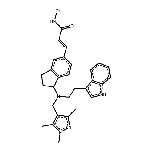 Cc1nn(C)c(C)c1CN(CCc1c[nH]c2ccccc12)C1CCc2cc(C=CC(=O)NO)ccc21